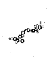 O=C1CCC(N2C(=O)c3ccc(N4CCN(CC5CCN(c6ccc([C@@H]7c8ccc(O)cc8OC[C@@H]7c7ccccc7)cc6F)CC5)CC4)cc3C2=O)C(=O)N1